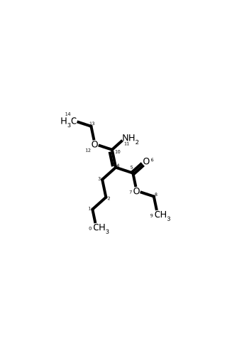 CCCC/C(C(=O)OCC)=C(/N)OCC